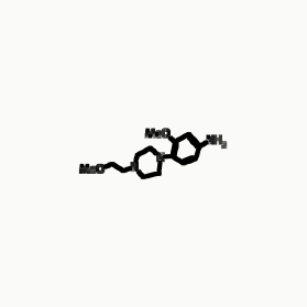 COCCN1CCN(c2ccc(N)cc2OC)CC1